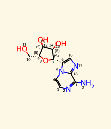 Nc1nccn2c([C@@H]3O[C@H](CO)[C@@H](O)[C@H]3O)cnc12